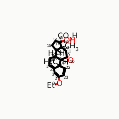 CCOC1=CC2=CC[C@@H]3[C@H](C(=O)C[C@@]4(C)[C@H]3CC[C@]4(O)C(=O)O)[C@@]2(C)C=C1